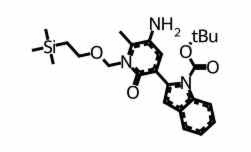 Cc1c(N)cc(-c2cc3ccccc3n2C(=O)OC(C)(C)C)c(=O)n1COCC[Si](C)(C)C